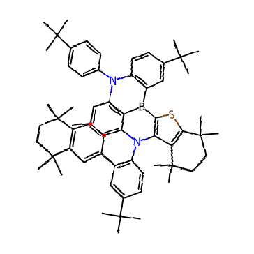 Cc1cc2c3c(c1)N(c1ccc(C(C)(C)C)cc1-c1ccc4c(c1)C(C)(C)CCC4(C)C)c1c(sc4c1C(C)(C)CCC4(C)C)B3c1cc(C(C)(C)C)ccc1N2c1ccc(C(C)(C)C)cc1